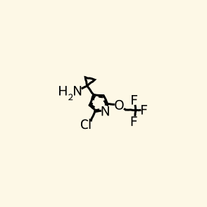 NC1(c2cc(Cl)nc(OCC(F)(F)F)c2)CC1